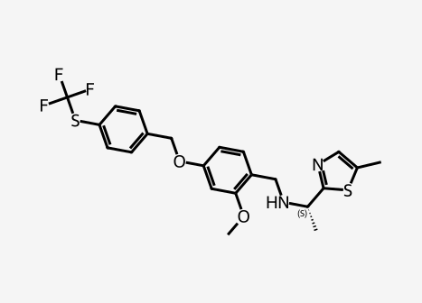 COc1cc(OCc2ccc(SC(F)(F)F)cc2)ccc1CN[C@@H](C)c1ncc(C)s1